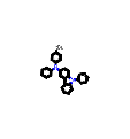 CC(C)(C)c1ccc(N(c2ccccc2)c2ccc3c(c2)c2ccccc2n3-c2ccccc2)cc1